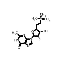 C=P(C)(C)CCC1OC(n2cnc3c(=O)[nH]c(C)nc32)[C@H](F)[C@@H]1O